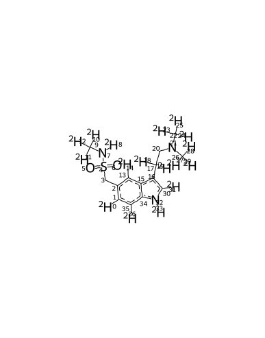 [2H]c1c(CS(=O)(=O)N([2H])C([2H])([2H])[2H])c([2H])c2c(C([2H])([2H])CN(C([2H])([2H])[2H])C([2H])([2H])[2H])c([2H])n([2H])c2c1[2H]